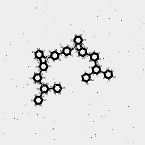 c1ccc(-c2cc(-c3ccccc3)cc(-c3cccc(-c4ccc5c(c4)c4ccccc4n5-c4ccc(-c5ccc(-n6c7ccccc7c7cc(-c8cccc(-c9cc(-c%10ccccc%10)cc(-c%10ccccc%10)c9)c8)ccc76)cc5)cc4)c3)c2)cc1